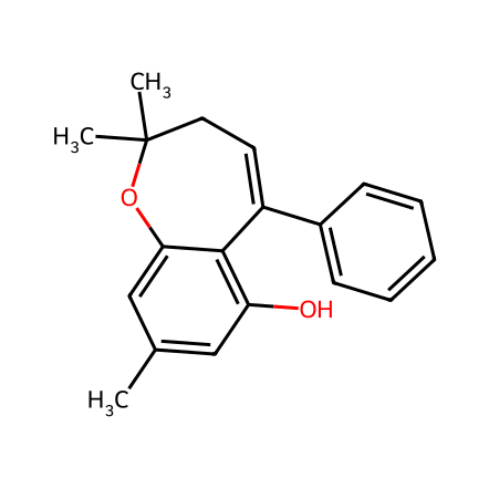 Cc1cc(O)c2c(c1)OC(C)(C)CC=C2c1ccccc1